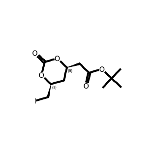 CC(C)(C)OC(=O)C[C@H]1C[C@@H](CI)OC(=O)O1